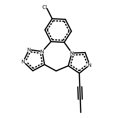 CC#Cc1ncn2c1Cc1cnnn1-c1cc(Cl)ccc1-2